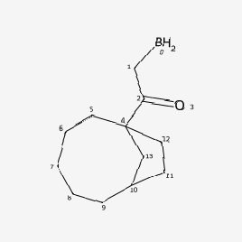 BCC(=O)C12CCCCCC(CC1)C2